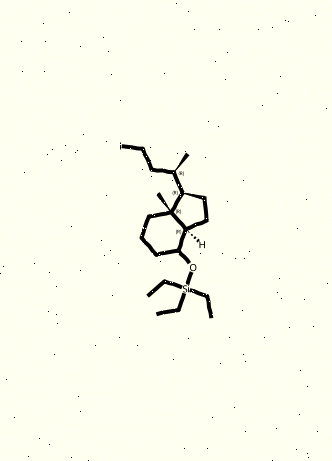 CC[Si](CC)(CC)OC1CCC[C@]2(C)[C@@H]([C@H](C)CCI)CC[C@@H]12